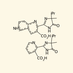 CC(C)C1(C)N=C(c2nc3ccccc3cc2C(=O)O)NC1=O.CC(C)C1(C)N=C(c2ncccc2C(=O)O)NC1=O.N